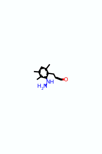 Cc1cc(C)c(CC=C=O)c(NN)c1C